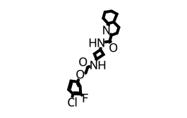 O=C(COc1ccc(Cl)c(F)c1)NC1CC(NC(=O)C2CCC3CCCCC3=N2)C1